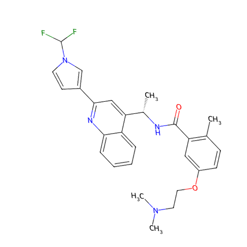 Cc1ccc(OCCN(C)C)cc1C(=O)N[C@@H](C)c1cc(-c2ccn(C(F)F)c2)nc2ccccc12